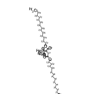 CCCCCCCCCCCCCCOC(=O)CC(C(=O)OCCCCCCCCCCCCCC)S(=O)(=O)O.[NaH]